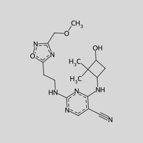 COCc1noc(CCNc2ncc(C#N)c(NC3CC(O)C3(C)C)n2)n1